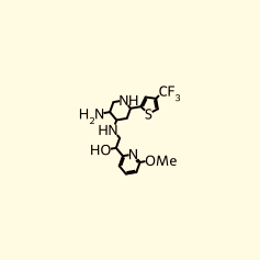 COc1cccc(C(O)CNC2CC(c3cc(C(F)(F)F)cs3)NCC2N)n1